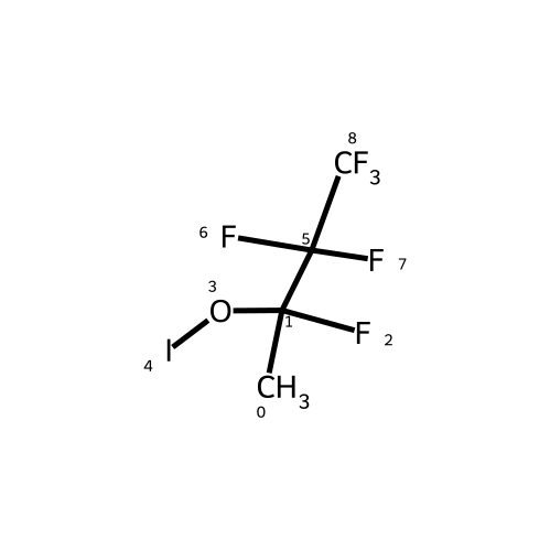 CC(F)(OI)C(F)(F)C(F)(F)F